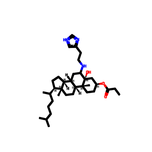 CCC(=O)O[C@H]1CC[C@]2(C)[C@H]3CC[C@]4(C)[C@@H](C(C)CCCC(C)C)CC[C@H]4[C@@H]3CC(NCCc3c[nH]cn3)[C@@]2(O)C1